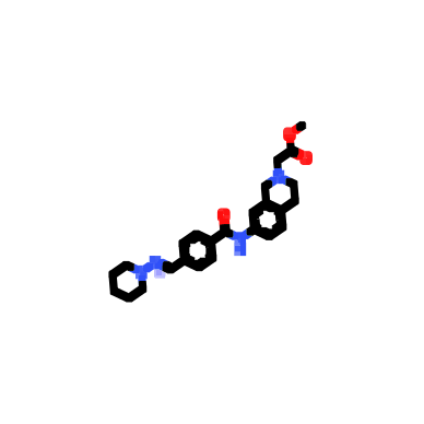 COC(=O)CN1CCc2ccc(NC(=O)c3ccc(/C=N/N4CCCCC4)cc3)cc2C1